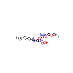 CCOc1ccc(CC(=O)Nc2ccc(C(=O)N(CC(=O)O)Cc3ccc(-c4ncc(C5=CCC([C@H]6CC[C@H](CC)CC6)CC5)cn4)cc3)cc2)cc1